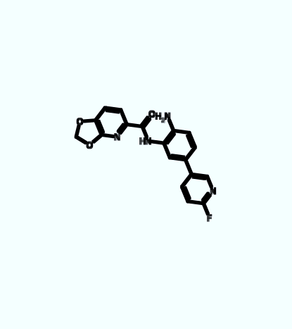 Nc1ccc(-c2ccc(F)nc2)cc1NC(=O)c1ccc2c(n1)OCO2